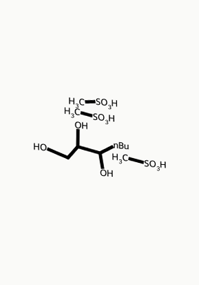 CCCCC(O)C(O)CO.CS(=O)(=O)O.CS(=O)(=O)O.CS(=O)(=O)O